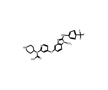 Cn1c(Nc2ccc(C(F)(F)F)cc2)nc2cc(Oc3ccnc(N(C(=O)O)C4CCNCC4)c3)ccc21